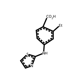 CCc1cc(Nc2nccs2)ccc1C(=O)O